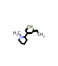 C=C/C(=C\C(F)=C/C)C1CCCCN1C